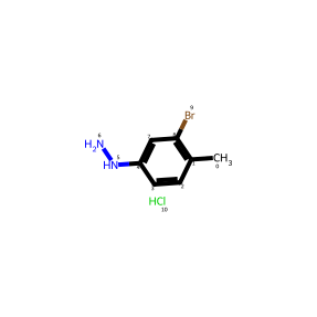 Cc1ccc(NN)cc1Br.Cl